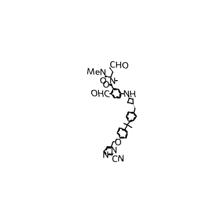 CNC(=O)C(CCC=O)N(C)C(=O)c1cc(N[C@H]2C[C@@H](Cc3ccc(C(C)(C)c4ccc(OCc5ccnc(C#N)n5)cc4)cc3)C2)ccc1C=O